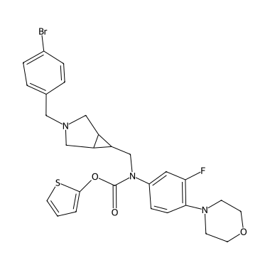 O=C(Oc1cccs1)N(CC1C2CN(Cc3ccc(Br)cc3)CC21)c1ccc(N2CCOCC2)c(F)c1